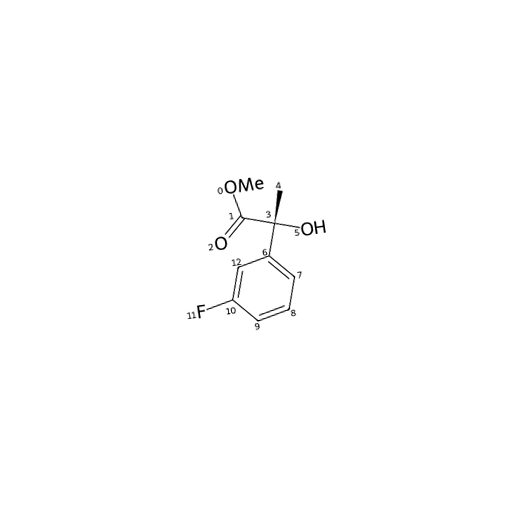 COC(=O)[C@](C)(O)c1cccc(F)c1